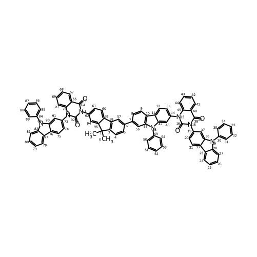 CC1(C)c2ccc(-c3ccc4c5ccc(-n6c(=O)n(-c7ccc8c9ccccc9n(-c9ccccc9)c8c7)c(=O)c7ccccc76)cc5n(-c5ccccc5)c4c3)cc2-c2ccc(-n3c(=O)c4ccccc4n(-c4ccc5c6ccccc6n(-c6ccccc6)c5c4)c3=O)cc21